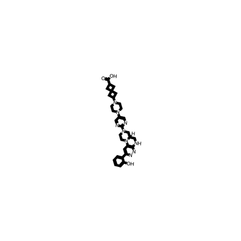 O=C(O)C1CC2(C1)CC(N1CCN(c3cnc(N4CCN5c6cc(-c7ccccc7O)nnc6NC[C@H]5C4)nc3)CC1)C2